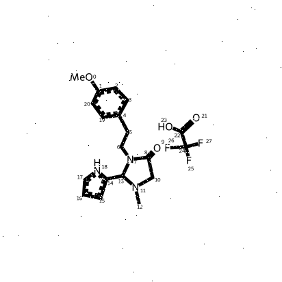 COc1ccc(CCN2C(=O)CN(C)C2c2ccc[nH]2)cc1.O=C(O)C(F)(F)F